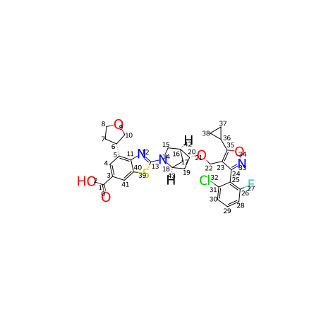 O=C(O)c1cc([C@@H]2CCOC2)c2nc(N3C[C@@H]4C[C@H]3C[C@H]4OCc3c(-c4c(F)cccc4Cl)noc3C3CC3)sc2c1